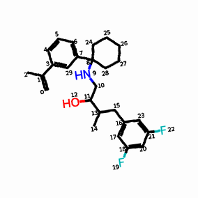 C=C(C)c1cccc(C2(NCC(O)C(C)Cc3cc(F)cc(F)c3)CCCCC2)c1